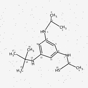 CC(C)Nc1cc(NC(C)S)cc(NC(C)(C)C)c1